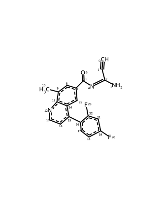 C#C/C(N)=N\C(=O)c1cc(C)c2nccc(-c3ccc(F)cc3F)c2c1